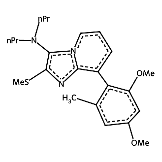 CCCN(CCC)c1c(SC)nc2c(-c3c(C)cc(OC)cc3OC)cccn12